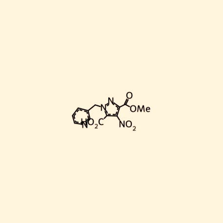 COC(=O)c1nn(Cc2cccnc2)c(C(=O)O)c1[N+](=O)[O-]